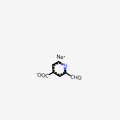 O=Cc1cc(C(=O)[O-])ccn1.[Na+]